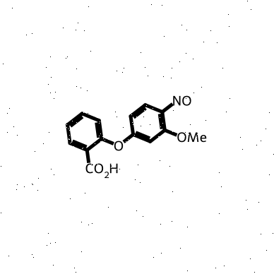 COc1cc(Oc2ccccc2C(=O)O)ccc1N=O